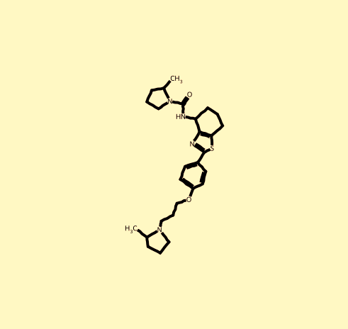 CC1CCCN1CCCOc1ccc(-c2nc3c(s2)CCCC3NC(=O)N2CCCC2C)cc1